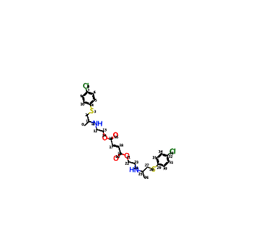 CC(CSc1ccc(Cl)cc1)NCCOC(=O)/C=C/C(=O)OCCNC(C)CSc1ccc(Cl)cc1